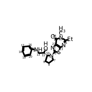 CCc1nc2sc(N3CCC[C@@H]3C(O)CNc3ccccc3)nc2c(=O)n1C